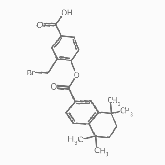 CC1(C)CCC(C)(C)c2cc(C(=O)Oc3ccc(C(=O)O)cc3CBr)ccc21